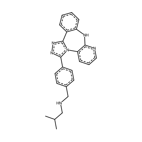 CC(C)CNCc1ccc(-c2nnc3n2-c2cccnc2Nc2ccccc2-3)cc1